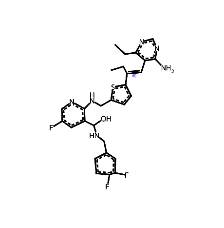 CC/C(=C\c1c(N)ncnc1CC)c1ccc(CNc2ncc(F)cc2C(O)NCc2ccc(F)c(F)c2)s1